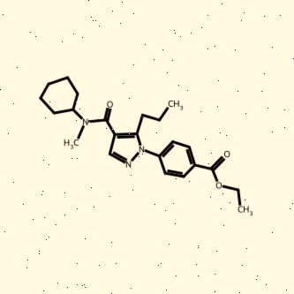 CCCc1c(C(=O)N(C)C2CCCCC2)cnn1-c1ccc(C(=O)OCC)cc1